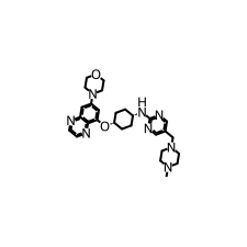 CN1CCN(Cc2cnc(N[C@H]3CC[C@@H](Oc4cc(N5CCOCC5)cc5nccnc45)CC3)nc2)CC1